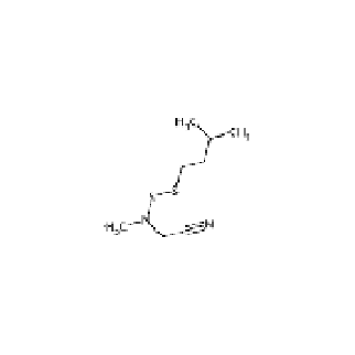 [CH2]N(CC#N)SSCCC(C)C